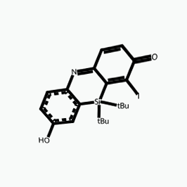 CC(C)(C)[Si]1(C(C)(C)C)C2=C(I)C(=O)C=CC2=Nc2ccc(O)cc21